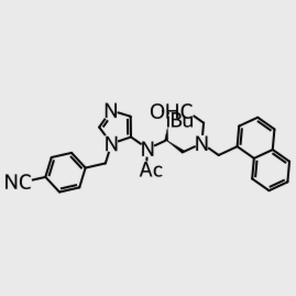 CC[C@H](C)[C@@H](CN(C[C]=O)Cc1cccc2ccccc12)N(C(C)=O)c1cncn1Cc1ccc(C#N)cc1